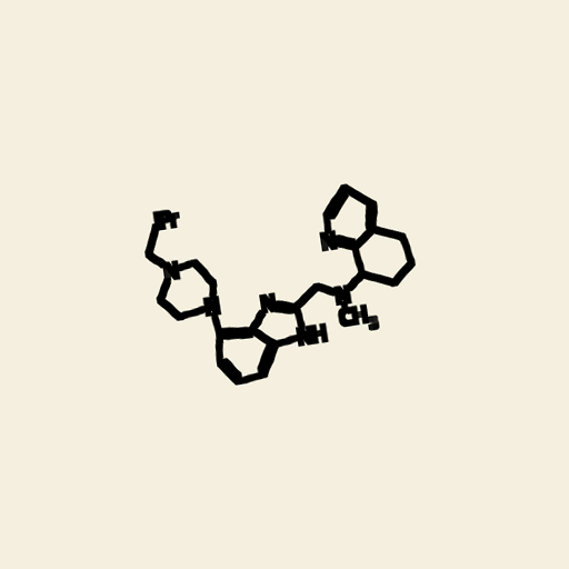 CC(C)CN1CCN(c2cccc3[nH]c(CN(C)C4CCCc5cccnc54)nc23)CC1